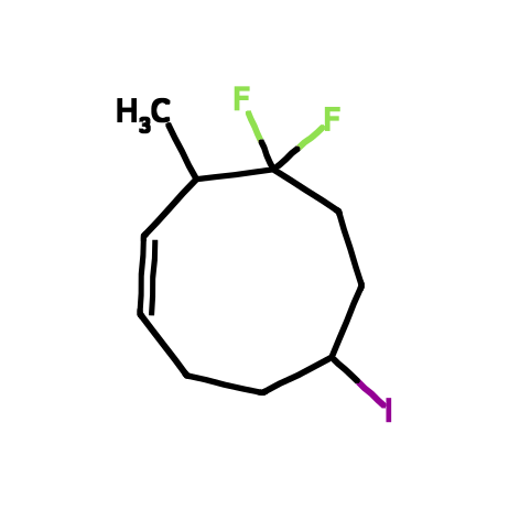 CC1/C=C\CCC(I)CCC1(F)F